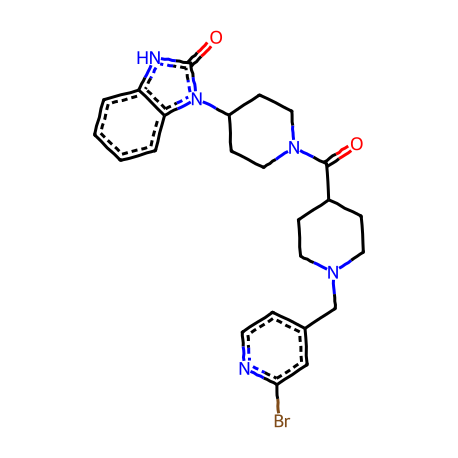 O=C(C1CCN(Cc2ccnc(Br)c2)CC1)N1CCC(n2c(=O)[nH]c3ccccc32)CC1